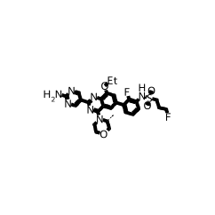 CCOc1cc(-c2cccc(NS(=O)(=O)CCCF)c2F)cc2c(N3CCOC[C@H]3C)nc(-c3cnc(N)nc3)nc12